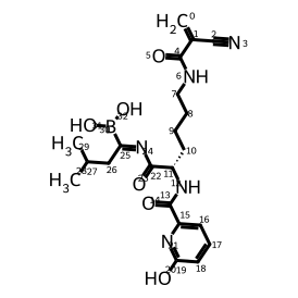 C=C(C#N)C(=O)NCCCC[C@H](NC(=O)c1cccc(O)n1)C(=O)/N=C(\CC(C)C)B(O)O